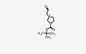 CC(C)(C)OC(=O)N1CC[C@H](CC=O)C1